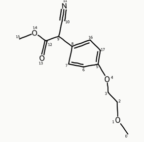 COCCOc1ccc(C(C#N)C(=O)OC)cc1